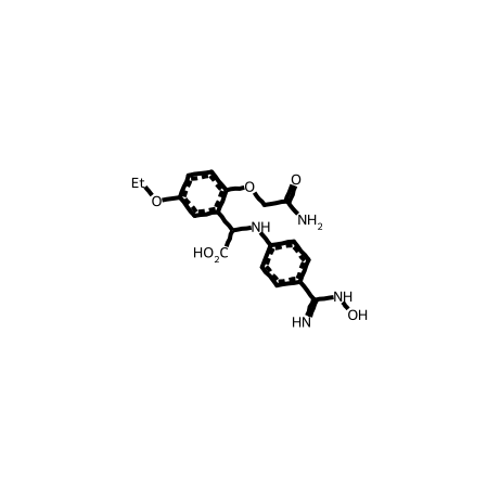 CCOc1ccc(OCC(N)=O)c(C(Nc2ccc(C(=N)NO)cc2)C(=O)O)c1